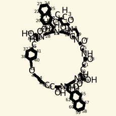 CC(C)(C)CC(=O)N1CCN2C[C@H]1C(=O)N[C@@H](Cc1ccc3ccccc3c1)C(=O)N[C@H](C(=O)O)Cc1ccc(cc1)OC/C=C/CCC(=O)N[C@@H](Cc1ccc3ccccc3c1)C(=O)N[C@H](C(=O)O)CCC(=O)NCC2=O